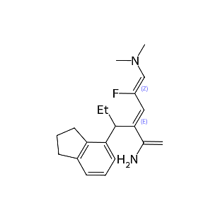 C=C(N)/C(=C/C(F)=C/N(C)C)C(CC)c1cccc2c1CCC2